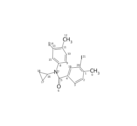 Cc1ccc(C(=O)N(c2ccc(C)c(I)c2)C2CC2)cc1I